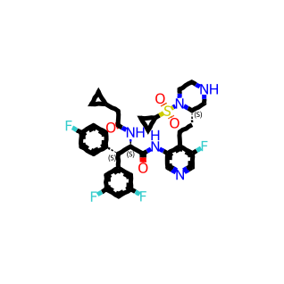 O=C(CC1CC1)N[C@H](C(=O)Nc1cncc(F)c1CC[C@H]1CNCCN1S(=O)(=O)C1CC1)[C@@H](c1ccc(F)cc1)c1cc(F)cc(F)c1